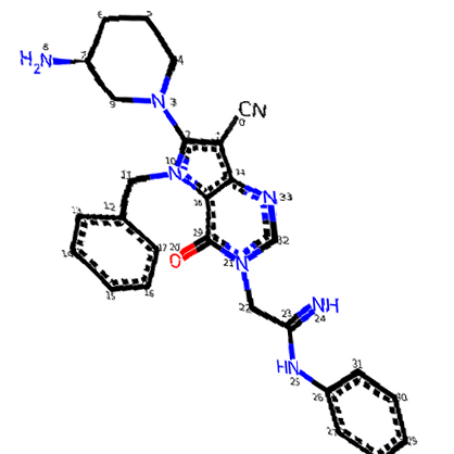 N#Cc1c(N2CCC[C@H](N)C2)n(Cc2ccccc2)c2c(=O)n(CC(=N)Nc3ccccc3)cnc12